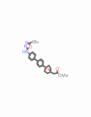 COC(=O)CC12CCC(c3ccc(-c4ccc(Nc5nnc(C(C)(C)C)o5)cc4)cc3)(CC1)OC2